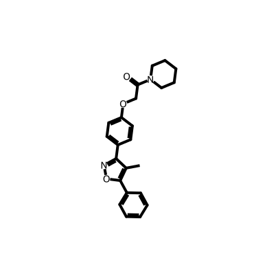 Cc1c(-c2ccc(OCC(=O)N3CCCCC3)cc2)noc1-c1ccccc1